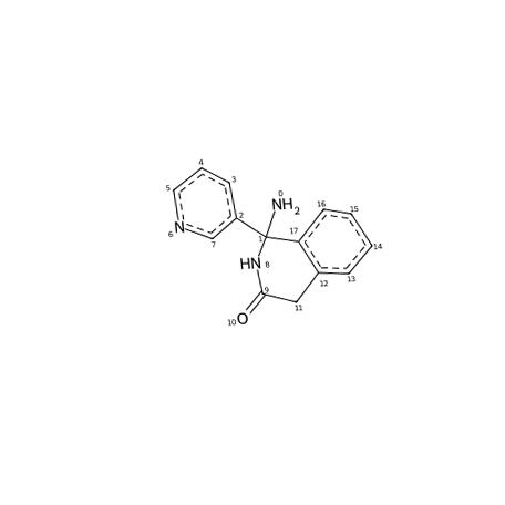 NC1(c2cccnc2)NC(=O)Cc2ccccc21